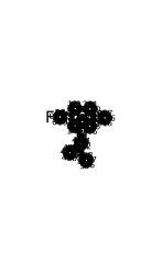 Fc1ccc(N(c2ccccc2)c2ccc3c4c2ccc2c(N(c5ccccc5)c5ccccc5)ccc(c24)n3-c2ccc3c(c2)c2ccccc2n3-c2ccccc2)cc1